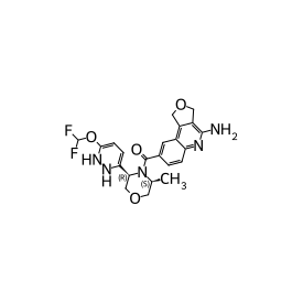 C[C@H]1COC[C@@H](C2=CC=C(OC(F)F)NN2)N1C(=O)c1ccc2nc(N)c3c(c2c1)COC3